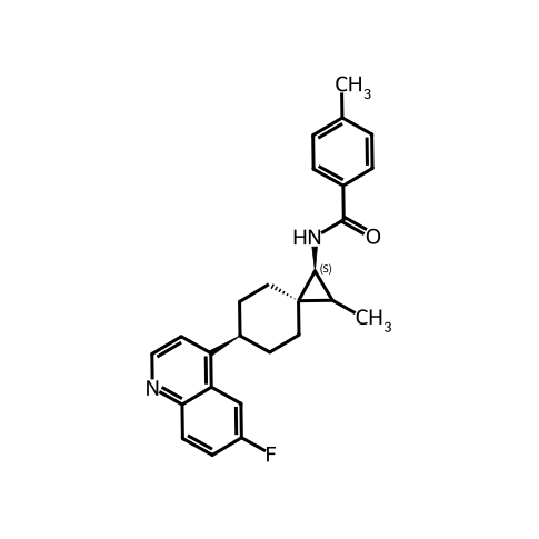 Cc1ccc(C(=O)N[C@H]2C(C)[C@]23CC[C@H](c2ccnc4ccc(F)cc42)CC3)cc1